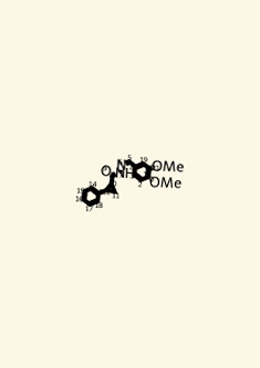 COc1ccc(/C=N\NC(=O)C2CC2c2ccccc2)cc1OC